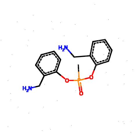 CP(=O)(Oc1ccccc1CN)Oc1ccccc1CN